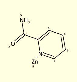 NC(=O)c1ccccn1.[Zn]